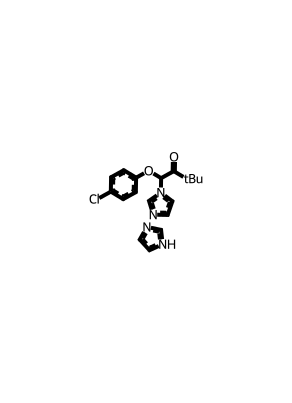 CC(C)(C)C(=O)C(Oc1ccc(Cl)cc1)n1ccnc1.c1c[nH]cn1